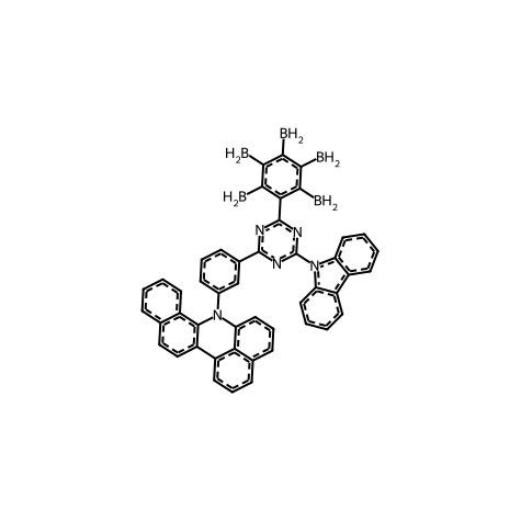 Bc1c(B)c(B)c(-c2nc(-c3cccc(N4c5c(ccc6ccccc56)-c5cccc6cccc4c56)c3)nc(-n3c4ccccc4c4ccccc43)n2)c(B)c1B